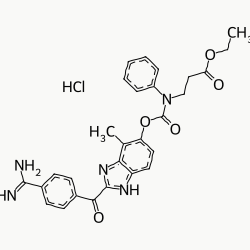 CCOC(=O)CCN(C(=O)Oc1ccc2[nH]c(C(=O)c3ccc(C(=N)N)cc3)nc2c1C)c1ccccc1.Cl